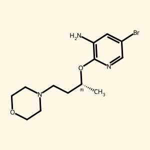 C[C@H](CCN1CCOCC1)Oc1ncc(Br)cc1N